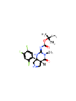 CN1C(=O)[C@@H]2CNC[C@]2(c2cc(F)c(F)cc2F)N/C1=N/C(=O)OC(C)(C)C